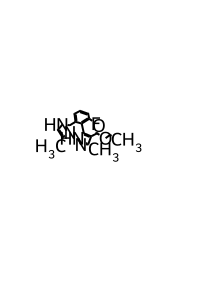 CCOC(=O)c1c(C)n[nH]c1-c1c(F)cccc1-c1nc(C)c[nH]1